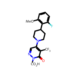 COc1cccc(F)c1C1CCN(c2cnn(C(=O)O)c(=O)c2C(F)(F)F)CC1